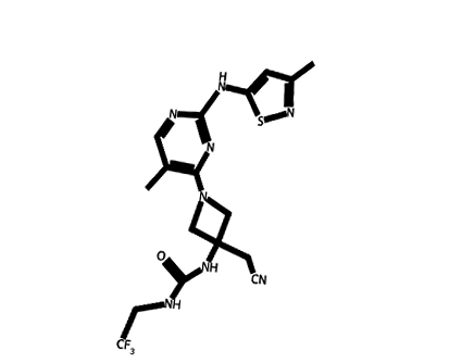 Cc1cc(Nc2ncc(C)c(N3CC(CC#N)(NC(=O)NCC(F)(F)F)C3)n2)sn1